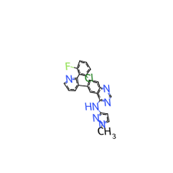 Cn1ccc(Nc2ncnc3ccc(-c4cccnc4-c4c(F)cccc4Cl)cc23)n1